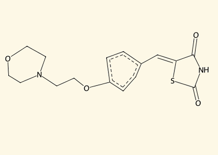 O=C1NC(=O)C(=Cc2ccc(OCCN3CCOCC3)cc2)S1